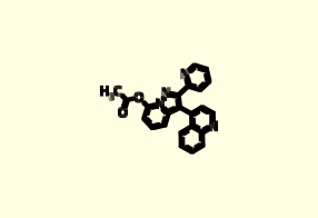 CC(=O)Oc1cccc2c(-c3ccnc4ccccc34)c(-c3ccccn3)nn12